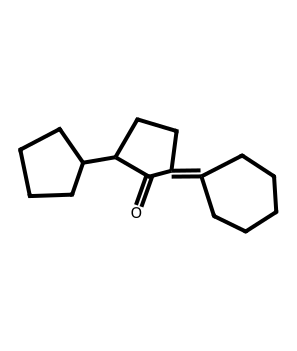 O=C1C(=C2CCCCC2)CCC1C1CCCC1